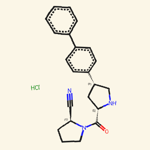 Cl.N#C[C@@H]1CCCN1C(=O)[C@@H]1C[C@H](c2ccc(-c3ccccc3)cc2)CN1